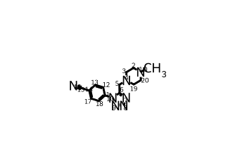 CN1CCN(Cc2nnnn2-c2ccc(C#N)cc2)CC1